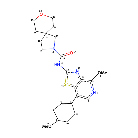 COc1ncc(C2=CCC(OC)CC2)c2sc(NC(=O)N3CCC4(CCOCC4)C3)nc12